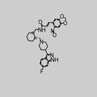 O=Nc1cc2c(cc1/C=C/C(=O)NC[C@@H]1CCCC[C@H]1CN1CCC(c3n[nH]c4cc(F)ccc34)CC1)OCO2